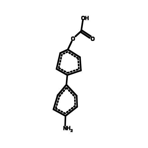 Nc1ccc(-c2ccc(OC(=O)O)cc2)cc1